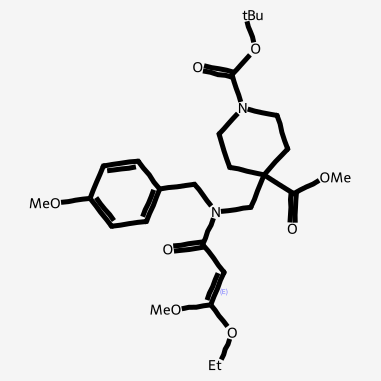 CCO/C(=C/C(=O)N(Cc1ccc(OC)cc1)CC1(C(=O)OC)CCN(C(=O)OC(C)(C)C)CC1)OC